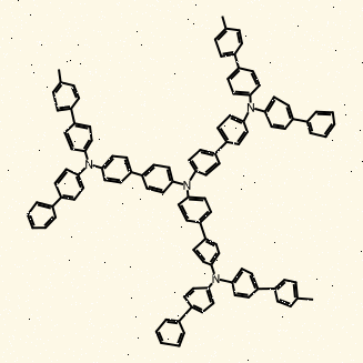 Cc1ccc(-c2ccc(N(c3ccc(-c4ccccc4)cc3)c3ccc(-c4ccc(N(c5ccc(-c6ccc(N(c7ccc(-c8ccccc8)cc7)c7ccc(-c8ccc(C)cc8)cc7)cc6)cc5)c5ccc(-c6ccc(N(c7ccc(-c8ccccc8)cc7)c7ccc(-c8ccc(C)cc8)cc7)cc6)cc5)cc4)cc3)cc2)cc1